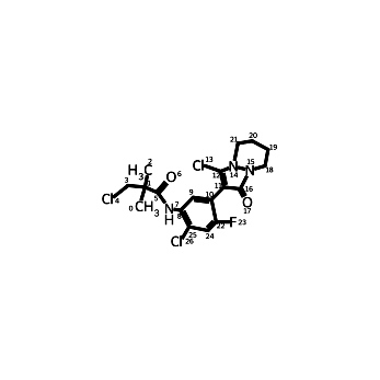 CC(C)(CCl)C(=O)Nc1cc(-c2c(Cl)n3n(c2=O)CCCC3)c(F)cc1Cl